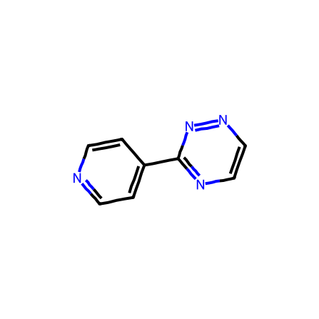 c1cc(-c2nccnn2)ccn1